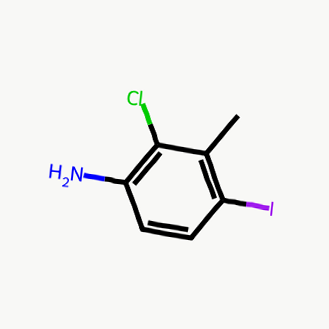 Cc1c(I)ccc(N)c1Cl